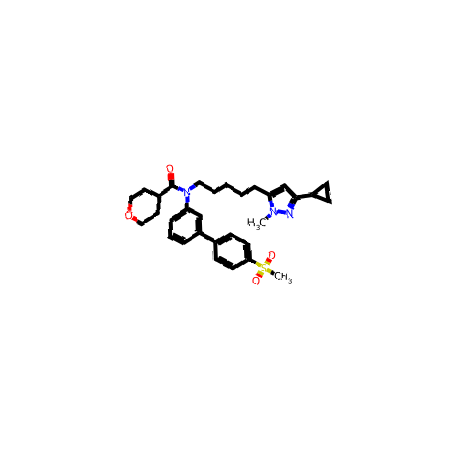 Cn1nc(C2CC2)cc1CCCCCN(C(=O)C1CCOCC1)c1cccc(-c2ccc(S(C)(=O)=O)cc2)c1